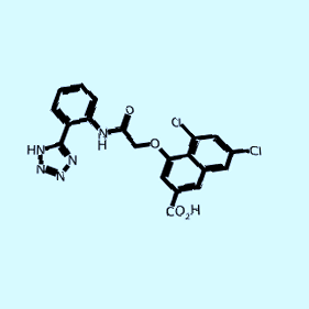 O=C(COc1cc(C(=O)O)cc2cc(Cl)cc(Cl)c12)Nc1ccccc1-c1nnn[nH]1